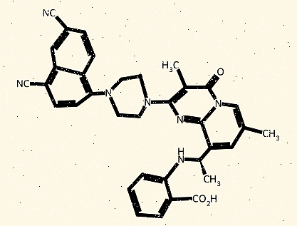 Cc1cc([C@@H](C)Nc2ccccc2C(=O)O)c2nc(N3CCN(c4ccc(C#N)c5cc(C#N)ccc45)CC3)c(C)c(=O)n2c1